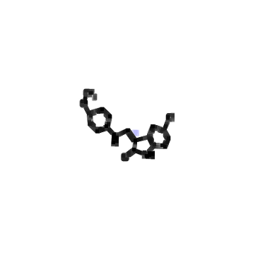 O=C1Nc2ccc(Cl)cc2/C1=C/Nc1ccc(OC(F)(F)F)cc1